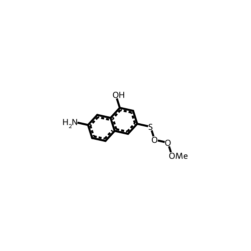 COOOSc1cc(O)c2cc(N)ccc2c1